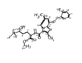 COC(=O)C(CCC(O)C(F)(F)F)NC(=O)c1c(C)nc2c(OCc3ncccc3F)cc(C)cn12